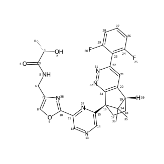 C[C@H](O)C(=O)NCc1coc(-c2cncc([C@@]34CC[C@@H](c5cc(-c6c(F)cccc6F)nnc53)C4(C)C)n2)n1